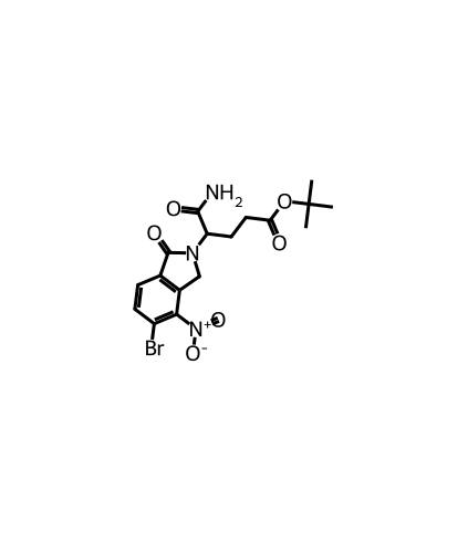 CC(C)(C)OC(=O)CCC(C(N)=O)N1Cc2c(ccc(Br)c2[N+](=O)[O-])C1=O